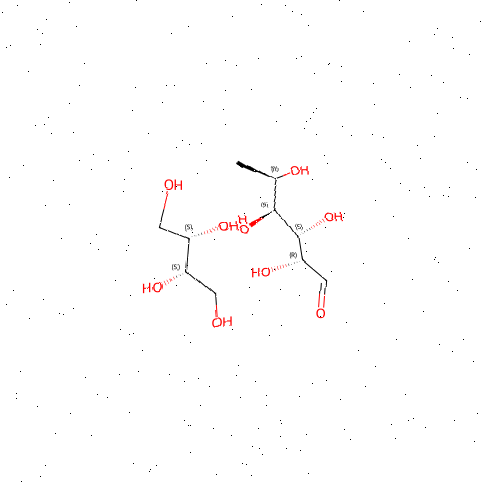 C[C@@H](O)[C@H](O)[C@H](O)[C@@H](O)C=O.OC[C@H](O)[C@@H](O)CO